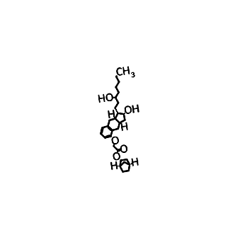 CCCCC[C@H](O)CC[C@@H]1[C@H]2Cc3cccc(OCC(=O)O[C@@H]4C[C@H]5CC[C@@H]4C5)c3C[C@H]2C[C@H]1O